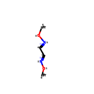 CCCO/N=C/C=N/OCCC